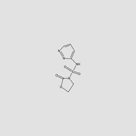 O=C1OCCN1S(=O)(=O)Nc1cccnn1